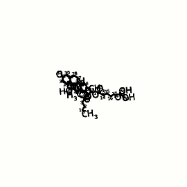 CCCCC(=O)O[C@]1(C(=O)COC(=O)CCCCON(O)O)[C@@H](C)C[C@H]2C3CCC4=CC(=O)C=C[C@]4(C)[C@@]3(F)[C@@H](O)C[C@@]21C